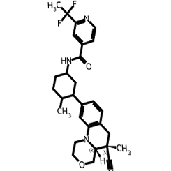 CC1CCC(NC(=O)c2ccnc(C(C)(F)F)c2)CC1c1ccc2c(c1)N1CCOC[C@H]1[C@@](C)(C#N)C2